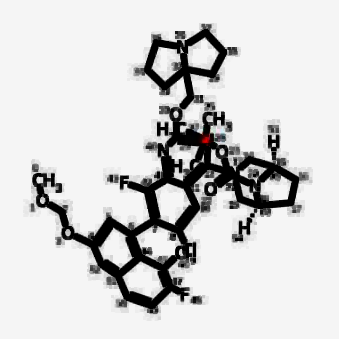 COCOc1cc(-c2c(Cl)cc3c(N4C[C@H]5CC[C@@H](C4)N5C(=O)OC(C)(C)C)nc(OCC45CCCN4CCC5)nc3c2F)c2c(Cl)c(F)ccc2c1